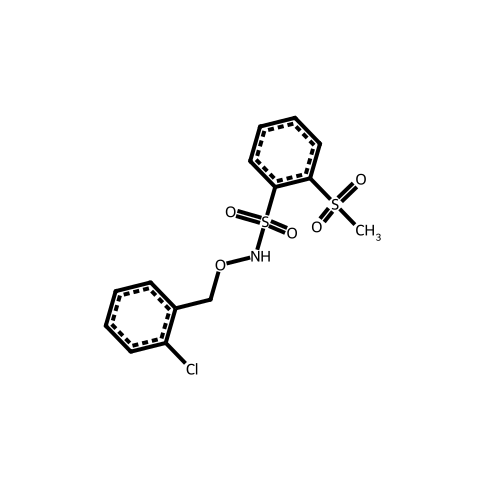 CS(=O)(=O)c1ccccc1S(=O)(=O)NOCc1ccccc1Cl